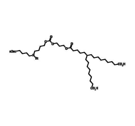 CCCCCCCCCCCCCCN(CC)CCCCOC(=O)OCCCOC(=O)CCCCC(CCCCCCCCC(=O)O)CCCCCCCCC(=O)O